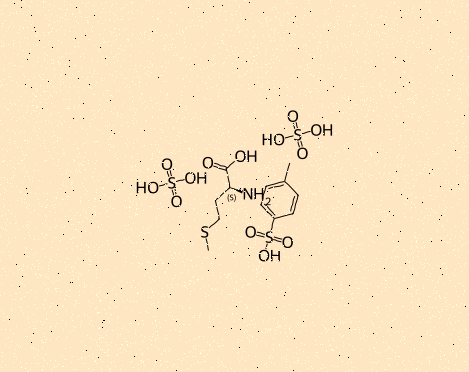 CSCC[C@H](N)C(=O)O.Cc1ccc(S(=O)(=O)O)cc1.O=S(=O)(O)O.O=S(=O)(O)O